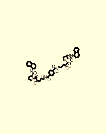 C[C@@H](CCCNC(=O)c1ccc(C(=O)NCCC[C@H](C)C(=O)N2CCC[C@H]2C(=O)N[C@@H]2CCCc3ccccc32)cc1)C(=O)N1CCC[C@H]1C(=O)N[C@@H]1CCCc2ccccc21